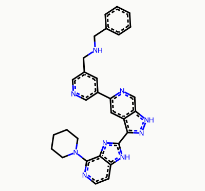 c1ccc(CNCc2cncc(-c3cc4c(-c5nc6c(N7CCCCC7)nccc6[nH]5)n[nH]c4cn3)c2)cc1